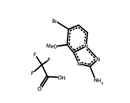 COc1c(Br)ccn2nc(N)nc12.O=C(O)C(F)(F)F